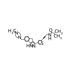 CC(C)C(=O)NCC#Cc1cc(-c2n[nH]c3c2Cc2ccc(CN4CCN(C)CC4)cc2-3)cs1